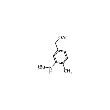 CC(=O)OCc1ccc(C)c(NC(C)(C)C)c1